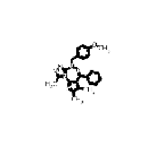 COc1ccc(CN2N=C(c3ccccc3)c3c(sc(C)c3C)-n3c(C)nnc32)cc1